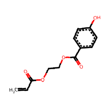 C=CC(=O)OCCOC(=O)c1ccc(O)cc1